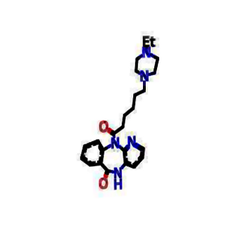 CCN1CCN(CCCCCC(=O)N2c3ccccc3C(=O)Nc3cccnc32)CC1